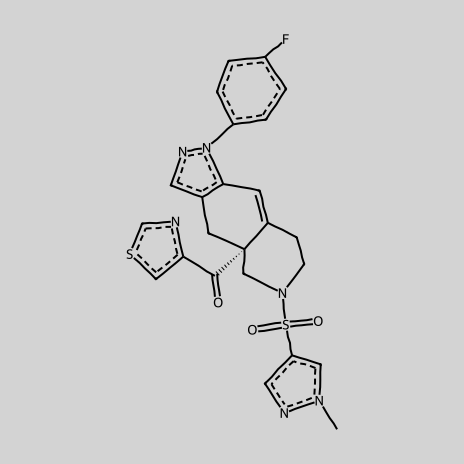 Cn1cc(S(=O)(=O)N2CCC3=Cc4c(cnn4-c4ccc(F)cc4)C[C@]3(C(=O)c3cscn3)C2)cn1